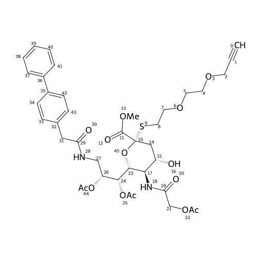 C#CCOCCOCCS[C@]1(C(=O)OC)C[C@H](O)[C@@H](NC(=O)COC(C)=O)[C@H]([C@H](OC(C)=O)[C@@H](CNC(=O)Cc2ccc(-c3ccccc3)cc2)OC(C)=O)O1